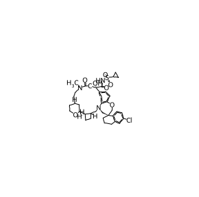 CN1CC[C@@H]2CCO[C@@H](C2)[C@@H]2CC[C@H]2CN2C[C@@]3(CCCc4cc(Cl)ccc43)COc3ccc(cc32)[C@](O)(C(=O)NS(=O)(=O)C2CC2)CC1=O